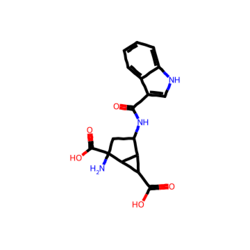 NC1(C(=O)O)CC(NC(=O)c2c[nH]c3ccccc23)C2C(C(=O)O)C21